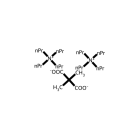 CC(C)(C(=O)[O-])C(=O)[O-].CCC[N+](CCC)(CCC)CCC.CCC[N+](CCC)(CCC)CCC